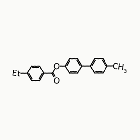 CCc1ccc(C(=O)Oc2ccc(-c3ccc(C)cc3)cc2)cc1